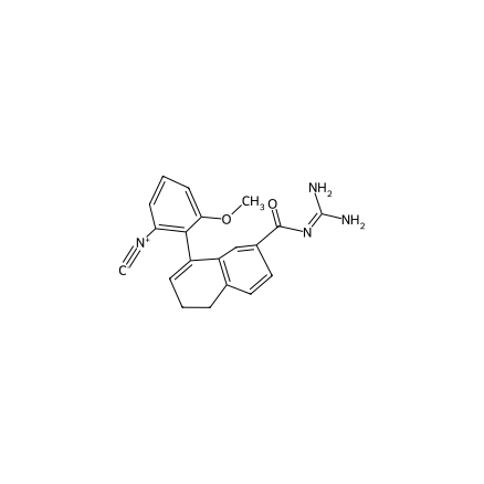 [C-]#[N+]c1cccc(OC)c1C1=CCCc2ccc(C(=O)N=C(N)N)cc21